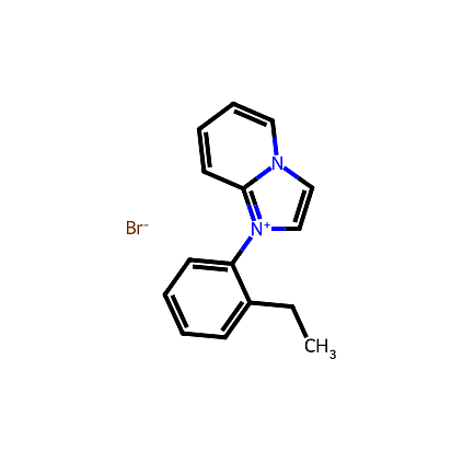 CCc1ccccc1-[n+]1ccn2ccccc21.[Br-]